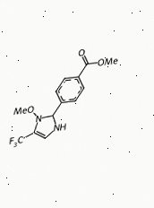 COC(=O)c1ccc(C2NC=C(C(F)(F)F)N2OC)cc1